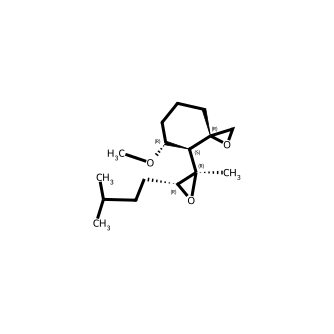 CO[C@@H]1CCC[C@]2(CO2)[C@H]1[C@@]1(C)O[C@@H]1CCC(C)C